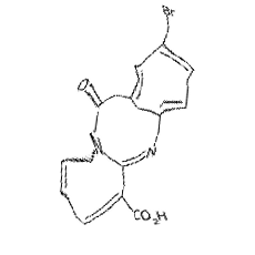 O=C(O)c1cccn2c(=O)c3cc(Br)ccc3nc12